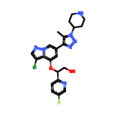 Cc1c(-c2cc(OC(CO)c3ccc(F)cn3)c3c(Cl)cnn3c2)nnn1C1CCNCC1